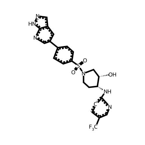 O=S(=O)(c1ccc(-c2cnc3[nH]ncc3c2)cc1)N1CC[C@@H](Nc2ccc(C(F)(F)F)cn2)[C@@H](O)C1